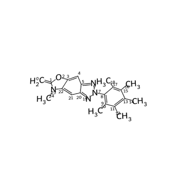 C=C1Oc2cc3nn(-c4c(C)c(C)c(C)c(C)c4C)nc3cc2N1C